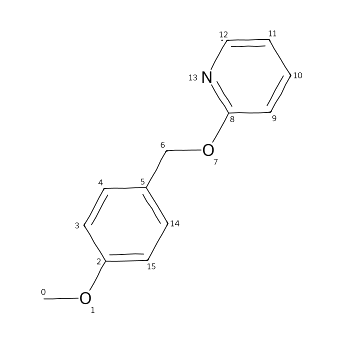 COc1ccc(COc2ccc[c]n2)cc1